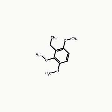 [CH2]Cc1c(OC)ccc(OC)c1OC